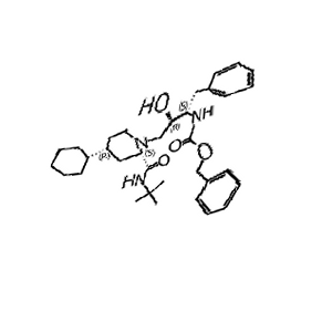 CC(C)(C)NC(=O)[C@@H]1C[C@H](C2CCCCC2)CCN1C[C@@H](O)[C@H](Cc1ccccc1)NC(=O)OCc1ccccc1